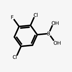 OB(O)c1cc(Cl)cc(F)c1Cl